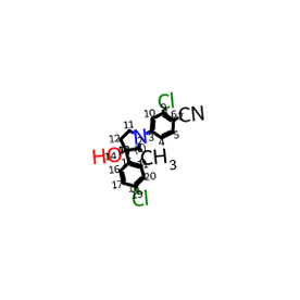 C[C@@H]1N(c2ccc(C#N)c(Cl)c2)CC[C@@]1(O)c1ccc(Cl)cc1